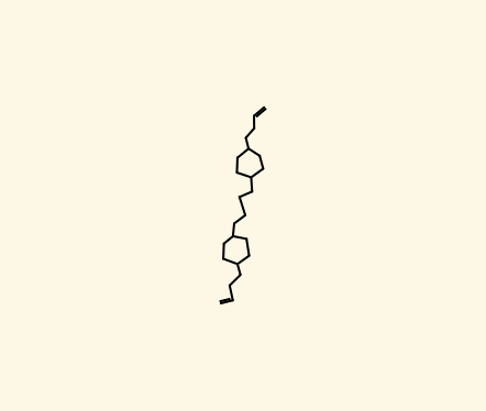 C=CCCC1CCC(CCCCC2CCC(CCC=C)CC2)CC1